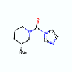 CN[C@@H]1CCCN(C(=O)n2ccnc2)C1